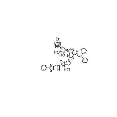 CCc1nnn([C@H]2C[C@@H](n3cnc4c(NCC(c5ccccc5)c5ccccc5)nc(N5CCC(NC(=O)NCc6csc(-c7ccccc7)n6)C5)nc43)[C@H](O)[C@@H]2O)n1.Cl